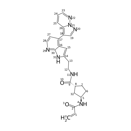 C=CC(=O)N[C@@H]1CC[C@@H](C(=O)NCCc2cc3c(-c4cnn5ncccc45)ccnc3[nH]2)C1